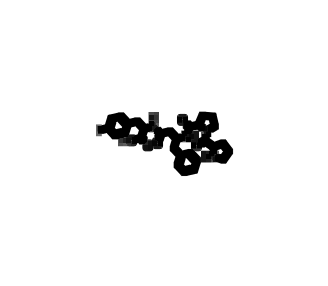 O=C(CC(Cc1ccccc1)NC(=O)C1CCCN1C(=O)C1CCCN1)NC(Cc1ccc(I)cc1)C(=O)O